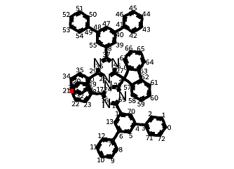 c1ccc(-c2cc(-c3ccccc3)cc(-c3nc(-c4ccccc4)nc(C4(c5nc(-c6ccccc6)nc(-c6cc(-c7ccccc7)cc(-c7ccccc7)c6)n5)c5ccccc5-c5ccccc54)n3)c2)cc1